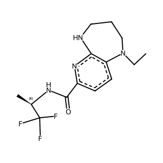 CCN1CCCNc2nc(C(=O)N[C@H](C)C(F)(F)F)ccc21